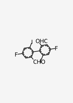 O=Cc1cc(F)cc(I)c1-c1c(I)cc(F)cc1C=O